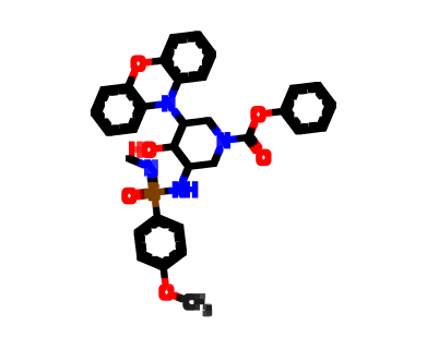 CN=S(=O)(NC1CN(C(=O)Oc2ccccc2)CC(N2c3ccccc3Oc3ccccc32)C1O)c1ccc(OC(F)(F)F)cc1